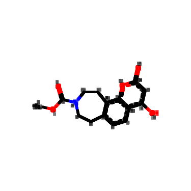 CC(C)(C)OC(=O)N1CCc2ccc3c(O)cc(=O)oc3c2CC1